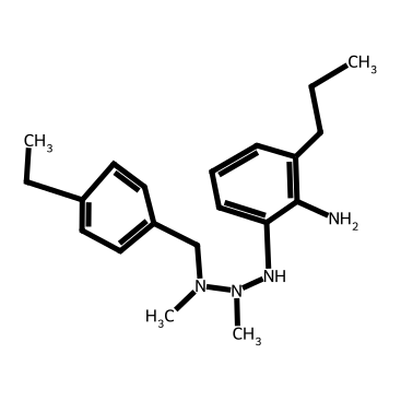 CCCc1cccc(NN(C)N(C)Cc2ccc(CC)cc2)c1N